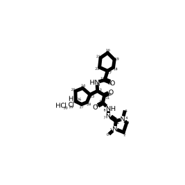 CN1CCN(C)C1=NNC(=O)C(=O)C(NC(=O)C1CCCCC1)C1CCCCC1.Cl.Cl